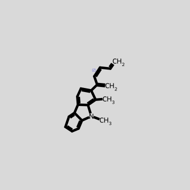 C=C/C=C\C(=C)c1ccc2c3ccccc3n(C)c2c1C